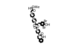 CONC(=O)CN1CCC(N2CCN(C(=O)[C@@H](Cc3cc(Br)c(O)c(Br)c3)OC(=O)N3CCC(N4CCc5ccccc5NC4=O)CC3)CC2)CC1